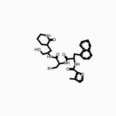 Cc1ccsc1C(=O)NC(Cc1cccc2ccccc12)C(=O)NC(CC(C)C)C(=O)NC(CO)CC1CCCNC1=O